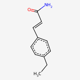 CCc1ccc(/C=C/C(N)=O)cc1